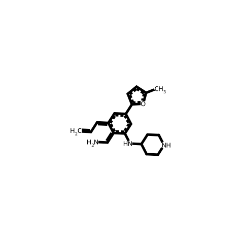 C=C/C=c1/cc(-c2ccc(C)o2)cc(NC2CCNCC2)/c1=C/N